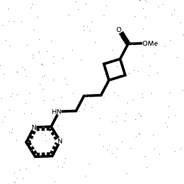 COC(=O)C1CC(CCCNc2ncccn2)C1